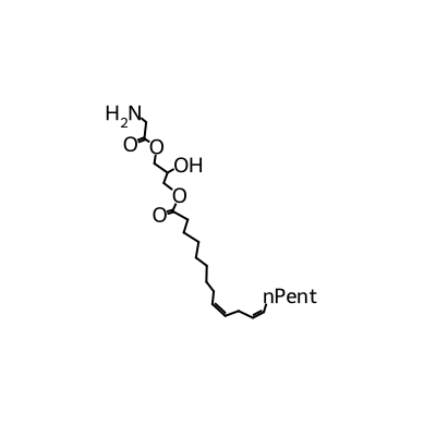 CCCCC/C=C\C/C=C\CCCCCCCC(=O)OCC(O)COC(=O)CN